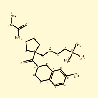 CC(C)(C)OC(=O)N[C@@H]1CC[C@](COCC[Si](C)(C)C)(C(=O)N2CCc3ccc(C(F)(F)F)cc3C2)C1